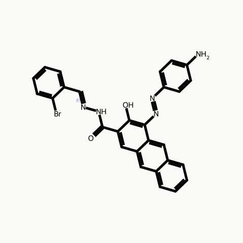 Nc1ccc(N=Nc2c(O)c(C(=O)N/N=C/c3ccccc3Br)cc3cc4ccccc4cc23)cc1